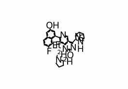 [2H]C([2H])(Oc1nc(N2CC3CCC2CN3)c2cnc(-c3cc(O)cc4ccc(F)c(CC)c34)c(F)c2n1)[C@@H]1CCCN1C